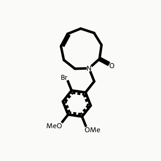 COc1cc(Br)c(CN2CCC=CCCCC2=O)cc1OC